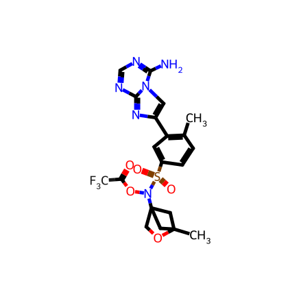 Cc1ccc(S(=O)(=O)N(OC(=O)C(F)(F)F)C23COC(C)(C2)C3)cc1-c1cn2c(N)ncnc2n1